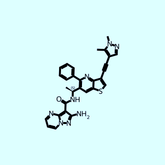 Cc1c(C#Cc2csc3cc([C@H](C)NC(=O)c4c(N)nn5cccnc45)c(-c4ccccc4)nc23)cnn1C